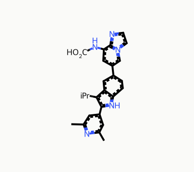 Cc1cc(-c2[nH]c3ccc(-c4cc(NC(=O)O)c5nccn5c4)cc3c2C(C)C)cc(C)n1